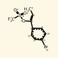 CC=C(OS(=O)(=O)C(F)(F)F)c1ccc(Br)cc1